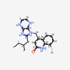 CCC(C)Cc1nc2nccnc2n1Cc1cc(=O)[nH]c2c(F)cccc12